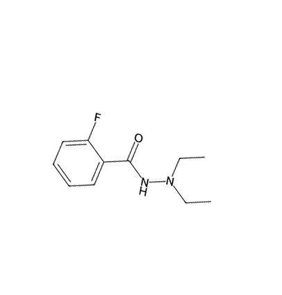 CCN(CC)NC(=O)c1ccccc1F